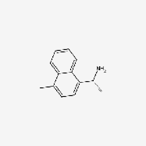 Cc1ccc([C@@H](C)N)c2ccccc12